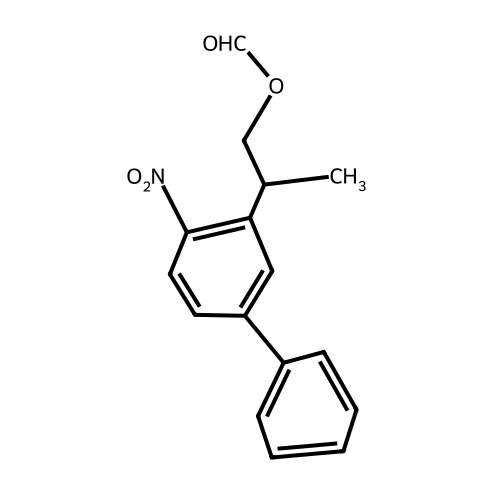 CC(COC=O)c1cc(-c2ccccc2)ccc1[N+](=O)[O-]